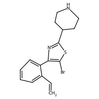 C=Cc1ccccc1-c1nc(C2CCNCC2)sc1Br